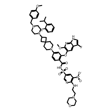 COc1ccc(CN2CCN(C3CC4(CCN(c5ccc(C(=O)NS(=O)(=O)c6cnc(NCCN7CCOCC7)c([N+](=O)[O-])c6)c(Oc6cc7c(F)c[nH]c7nc6OC)c5)CC4)C3)[C@H](c3ccccc3C(C)C)C2)cc1